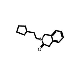 O=C1Cc2ccccc2CN1CCC1CCCC1